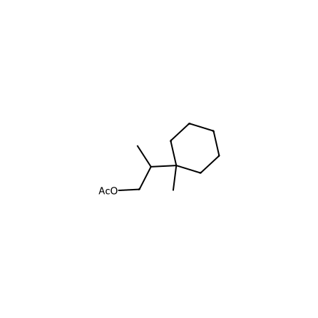 CC(=O)OCC(C)C1(C)CCCCC1